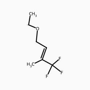 C[CH]OC/C=C(\C)C(F)(F)F